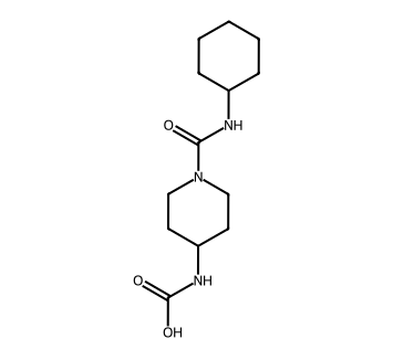 O=C(O)NC1CCN(C(=O)NC2CCCCC2)CC1